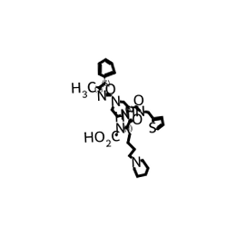 C[C@@H]1N=C(N2CCN(C(=O)[C@@H](CCCCN3CCCCC3)NC(=O)O)[C@H](C(=O)NCc3cccs3)C2)O[C@H]1c1ccccc1